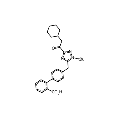 CC(C)(C)n1nc(C(=O)CC2CCCCC2)nc1Cc1ccc(-c2ccccc2C(=O)O)cc1